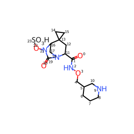 O=C(NOCC1CCCNC1)C1CC2(CC2)C2CN1C(=O)N2OS(=O)(=O)O